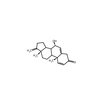 C=C1CCC2C3C(CC[C@]12C)[C@@]1(C)C=CC(=O)CC1=C[C@@H]3O